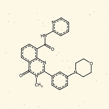 Cn1c(-c2cccc(N3CCOCC3)c2)nc2c(C(=O)Nc3ccccn3)cccc2c1=O